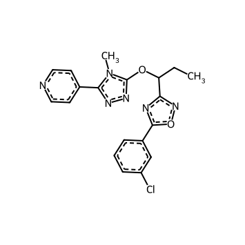 CCC(Oc1nnc(-c2ccncc2)n1C)c1noc(-c2cccc(Cl)c2)n1